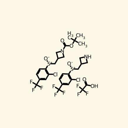 CC(C)(C)OC(=O)N1CC(C[S+]([O-])c2ccc(C(F)(F)F)cc2Cl)C1.O=C(O)C(F)(F)F.[O-][S+](CC1CNC1)c1ccc(C(F)(F)F)cc1Cl